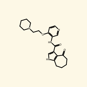 O=C(Nc1cnccc1OCCN1CCCCC1)c1c[nH]c2c1C(=O)CCCC2